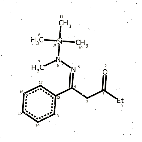 CCC(=O)CC(=NN(C)[Si](C)(C)C)c1ccccc1